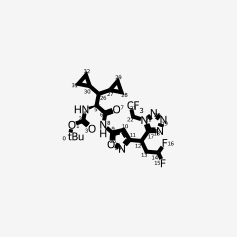 CC(C)(C)OC(=O)N[C@H](C(=O)Nc1cc(C(CC(F)F)c2nnnn2CC(F)(F)F)no1)C(C1CC1)C1CC1